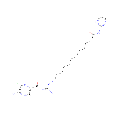 NC(=NC(=O)c1nc(Cl)c(N)nc1N)NCCCCCCCCCCCC(=O)Nc1ncc[nH]1